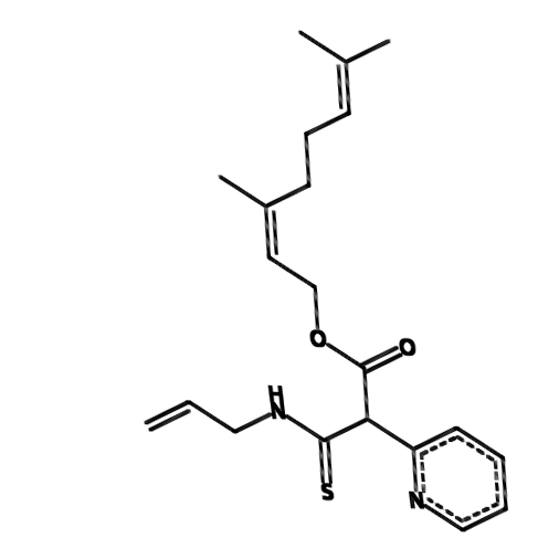 C=CCNC(=S)C(C(=O)OCC=C(C)CCC=C(C)C)c1ccccn1